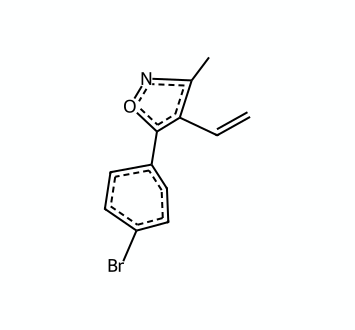 C=Cc1c(C)noc1-c1ccc(Br)cc1